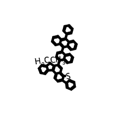 CC1(C)c2ccccc2-c2c1c(-c1ccc(-c3c4ccccc4c(-c4ccccc4)c4ccccc34)c3ccccc13)cc1c2ccc2c3ccccc3sc12